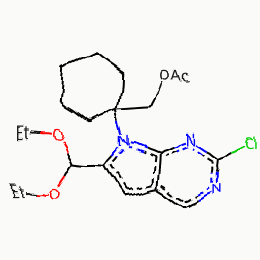 CCOC(OCC)c1cc2cnc(Cl)nc2n1C1(COC(C)=O)CCCCC1